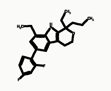 CCCC1(CC)OCCc2c1[nH]c1c(CC)cc(-c3ccc(F)cc3F)cc21